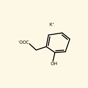 O=C([O-])Cc1ccccc1O.[K+]